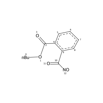 CCCCOC(=O)c1ccccc1C(=O)N=O